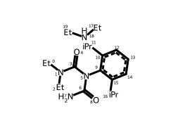 CCN(CC)C(=O)N(C(N)=O)c1c(C(C)C)cccc1C(C)C.CCNCC